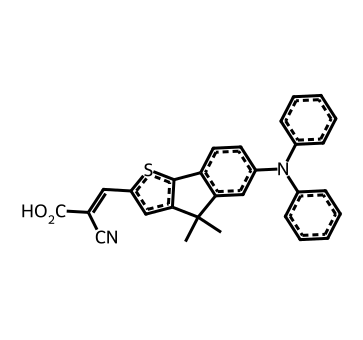 CC1(C)c2cc(N(c3ccccc3)c3ccccc3)ccc2-c2sc(/C=C(\C#N)C(=O)O)cc21